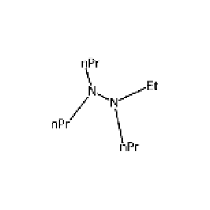 CCCN(CC)N(CCC)CCC